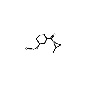 CC1CN1C(=O)C1CCCC(N=C=O)C1